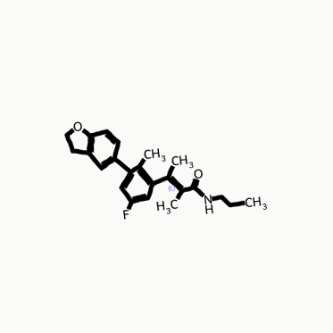 CCCNC(=O)/C(C)=C(\C)c1cc(F)cc(-c2ccc3c(c2)CCO3)c1C